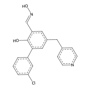 O/N=C/c1cc(Cc2ccncc2)cc(-c2cccc(Cl)c2)c1O